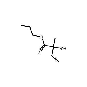 CCCOC(=O)C(C)(O)CC